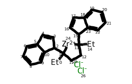 CC[C]1(C2C=Cc3ccccc32)CC[C](CC)(C2C=Cc3ccccc32)[Zr+2]1.[Cl-].[Cl-]